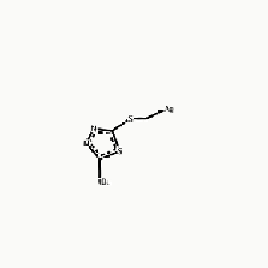 CC(=O)CSc1nnc(C(C)(C)C)s1